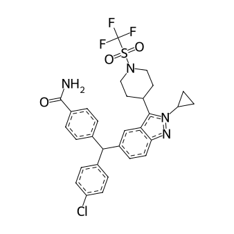 NC(=O)c1ccc(C(c2ccc(Cl)cc2)c2ccc3nn(C4CC4)c(C4CCN(S(=O)(=O)C(F)(F)F)CC4)c3c2)cc1